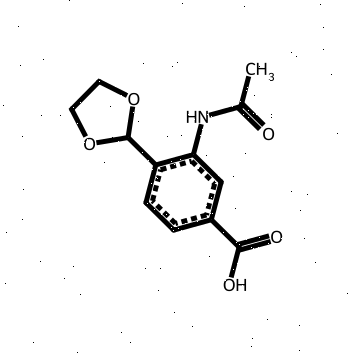 CC(=O)Nc1cc(C(=O)O)ccc1C1OCCO1